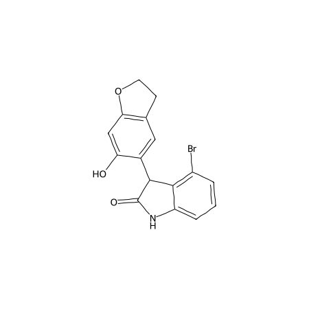 O=C1Nc2cccc(Br)c2C1c1cc2c(cc1O)OCC2